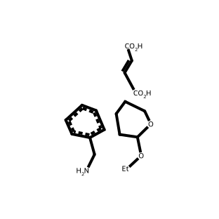 CCOC1CCCCO1.NCc1ccccc1.O=C(O)C=CC(=O)O